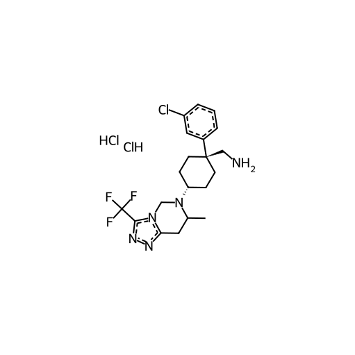 CC1Cc2nnc(C(F)(F)F)n2CN1[C@H]1CC[C@@](CN)(c2cccc(Cl)c2)CC1.Cl.Cl